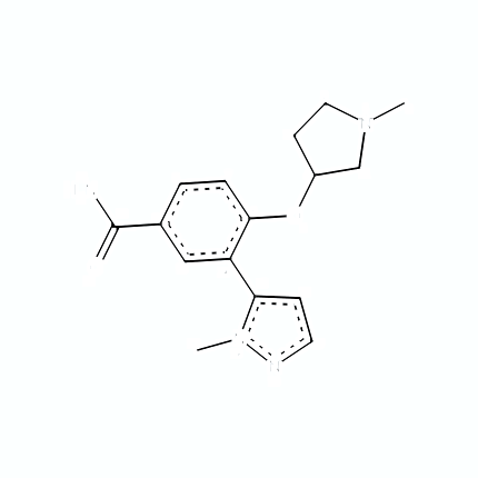 CN1CCC(Oc2ccc(C(N)=O)cc2-c2ccnn2C)C1